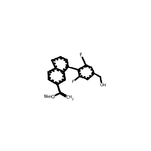 C=C(OC)c1ccc2cccc(-c3c(F)cc(CO)cc3F)c2c1